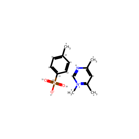 Cc1cc(C)[n+](C)cn1.Cc1ccc(S(=O)(=O)[O-])cc1